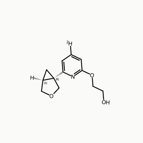 [2H]c1cc(OCCO)nc([C@]23COC[C@H]2C3)c1